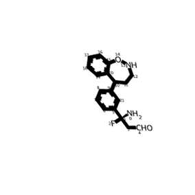 N[C@](F)(CC=O)c1cccc(C2CCNOc3ccccc32)c1